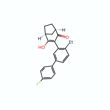 CCc1ccc(-c2ccc(F)cc2)cc1C1=C(O)[C@H]2CC[C@H](C2)C1=O